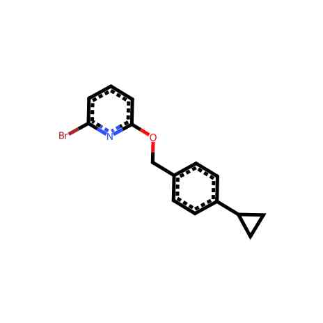 Brc1cccc(OCc2ccc(C3CC3)cc2)n1